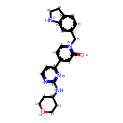 O=c1cc(-c2ccnc(NC3CCOCC3)n2)ccn1Cc1ccc2c(c1)NCC2